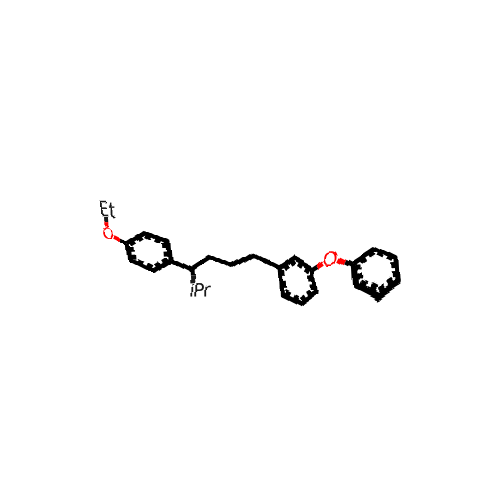 CCOc1ccc(C(CCCc2cccc(Oc3ccccc3)c2)C(C)C)cc1